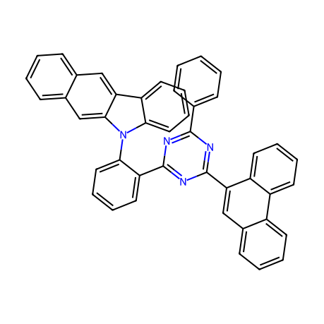 c1ccc(-c2nc(-c3ccccc3-n3c4ccccc4c4cc5ccccc5cc43)nc(-c3cc4ccccc4c4ccccc34)n2)cc1